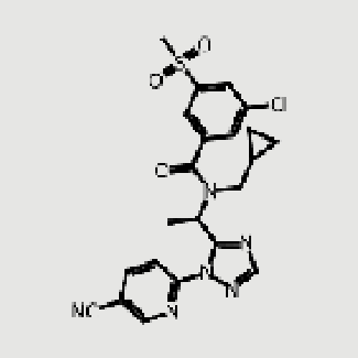 C[C@H](c1ncnn1-c1ccc(C#N)cn1)N(CC1CC1)C(=O)c1cc(Cl)cc(S(C)(=O)=O)c1